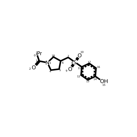 CC(C)C(=O)N1CCC(CS(=O)(=O)c2ccc(O)cc2)C1